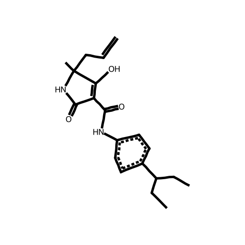 C=CCC1(C)NC(=O)C(C(=O)Nc2ccc(C(CC)CC)cc2)=C1O